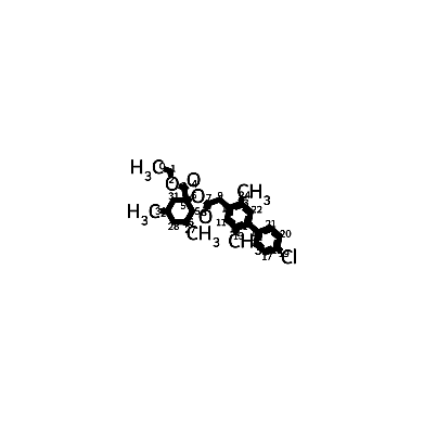 CCOC(=O)C1(OC(=O)Cc2cc(C)c(-c3ccc(Cl)cc3)cc2C)CC(C)CC(C)C1